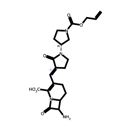 C=CCOC(=O)N1CC[C@@H](N2CC/C(=C\C3=C(C(=O)O)N4C(=O)C(N)C4CC3)C2=O)C1